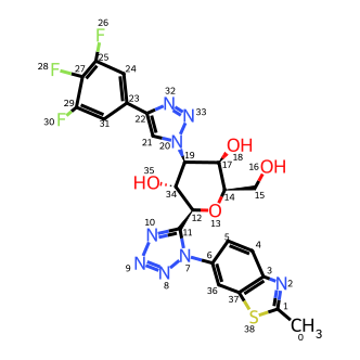 Cc1nc2ccc(-n3nnnc3[C@@H]3O[C@H](CO)[C@H](O)[C@H](n4cc(-c5cc(F)c(F)c(F)c5)nn4)[C@H]3O)cc2s1